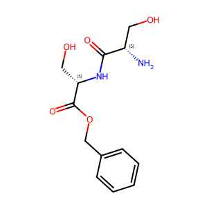 N[C@@H](CO)C(=O)N[C@@H](CO)C(=O)OCc1ccccc1